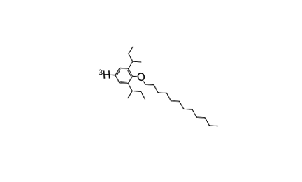 [3H]c1cc(C(C)CC)c(OCCCCCCCCCCCC)c(C(C)CC)c1